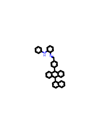 C(=N\c1ccccc1Nc1ccccc1)/c1ccc(-c2c3ccccc3c(-c3cccc4ccccc34)c3ccccc23)cc1